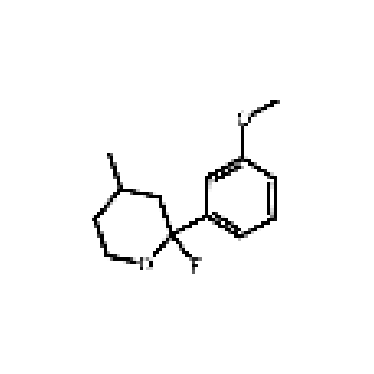 COc1cccc(C2(F)CC(C)CCO2)c1